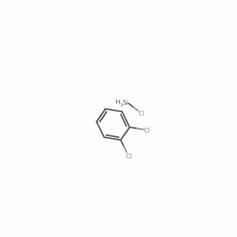 Clc1ccccc1Cl.[SiH3]Cl